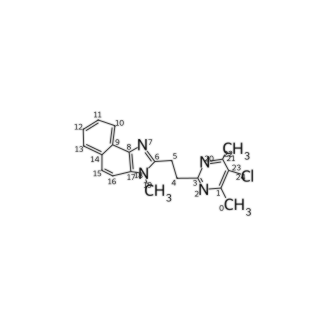 Cc1nc(CCc2nc3c4ccccc4ccc3n2C)nc(C)c1Cl